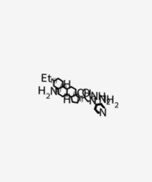 CC[C@H]1CC[C@@H]2C3CC[C@@]4(C)C(CC[C@@H]4C(=O)CN(N)c4ccncc4N)[C@@H]3CC[C@]2(N)C1